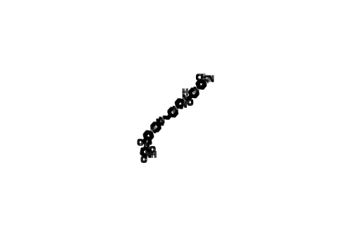 N#Cc1ccc(N2CCC(C(=O)Nc3ccc(N4CCC(CCN5CC6(CCN(c7ccc8c(c7)CN(C7CCC(=O)NC7=O)C8=O)CC6)C5)CC4)cn3)CC2)cc1C(F)(F)F